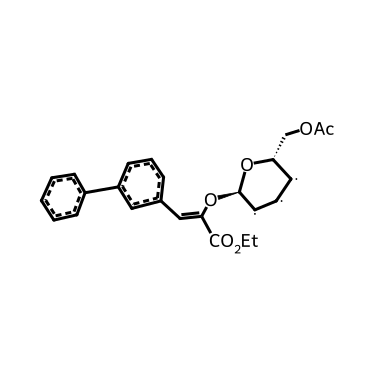 CCOC(=O)/C(=C/c1cccc(-c2ccccc2)c1)O[C@@H]1[CH][CH][CH][C@@H](COC(C)=O)O1